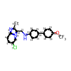 CCc1nc2ccc(Cl)cn2c1CNc1ccc(-c2ccc(OC(F)(F)F)cc2)cc1